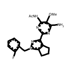 COc1c(N)nc(-c2nn(Cc3ccccc3F)c3c2CCC3)nc1NC(C)=O